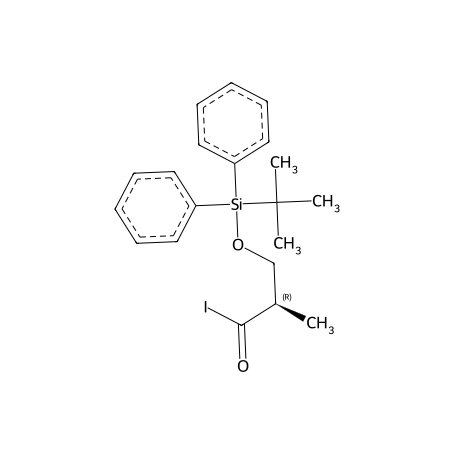 C[C@H](CO[Si](c1ccccc1)(c1ccccc1)C(C)(C)C)C(=O)I